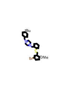 COc1ccc(Br)cc1CSc1ccccc1CN1CCN(Cc2ccc(C(C)(C)C)cc2)CC1